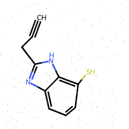 C#CCc1nc2cccc(S)c2[nH]1